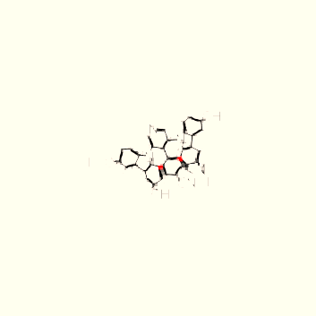 Cc1ccc2c(c1)c1cc(C)ccc1n2-c1cncc(-n2c3ccc(C)cc3c3cc(C)ccc32)c1-c1ccc(C#N)c(C#N)c1